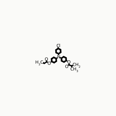 C=CC(=O)Oc1ccc(N(c2ccc(Cl)cc2)c2ccc(OC(=O)C(=C)C)cc2)cc1